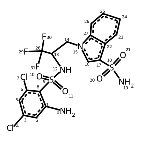 Nc1cc(Cl)cc(Cl)c1S(=O)(=O)NC(Cn1cc(S(N)(=O)=O)c2ccccc21)C(F)(F)F